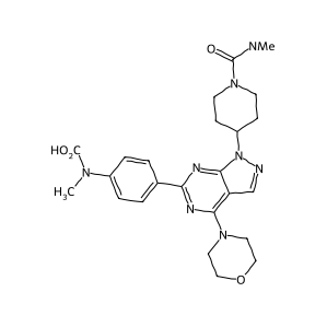 CNC(=O)N1CCC(n2ncc3c(N4CCOCC4)nc(-c4ccc(N(C)C(=O)O)cc4)nc32)CC1